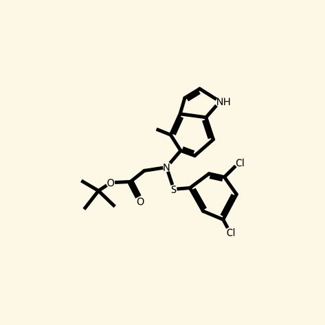 Cc1c(N(CC(=O)OC(C)(C)C)Sc2cc(Cl)cc(Cl)c2)ccc2[nH]ccc12